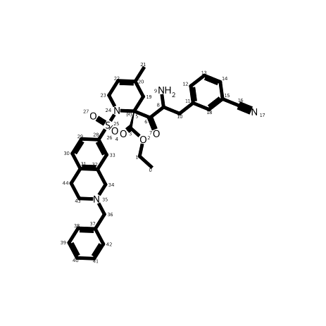 CCOC(=O)[C@]1(C(=O)C(N)Cc2cccc(C#N)c2)CC(C)=CCN1S(=O)(=O)c1ccc2c(c1)CN(Cc1ccccc1)CC2